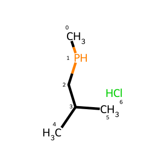 CPCC(C)C.Cl